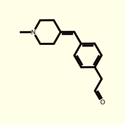 CN1CCC(=Cc2ccc(CC=O)cc2)CC1